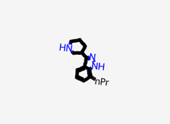 CCCc1cccc2c(C3CCCNC3)n[nH]c12